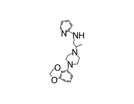 CC(CNc1ccccn1)N1CCN(c2cccc3c2OCCO3)CC1